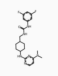 CN(C)c1ccnc(NC2CCC(CNC(=O)Nc3cc(F)cc(F)c3)CC2)n1